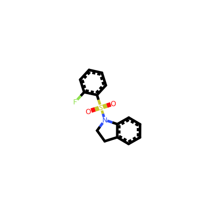 O=S(=O)(c1ccccc1F)N1CCc2ccccc21